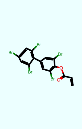 C=CC(=O)Oc1c(Br)cc(-c2c(Br)cc(Br)cc2Br)cc1Br